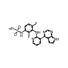 CCCS(=O)(=O)Nc1ccc(F)c(Nc2ncccc2-c2ncnc3[nH]ccc23)c1F